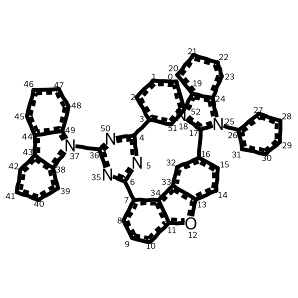 c1ccc(-c2nc(-c3cccc4oc5ccc(-c6nc7ccccc7n6-c6ccccc6)cc5c34)nc(-n3c4ccccc4c4ccccc43)n2)cc1